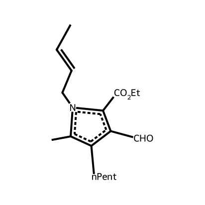 CC=CCn1c(C)c(CCCCC)c(C=O)c1C(=O)OCC